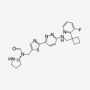 O=CN(Cc1cnc(-c2ccc(NCC3(c4ncccc4F)CCC3)nn2)s1)[C@H]1CCCN1